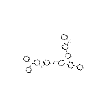 CCC1(CC)c2cc(/C=C/c3ccc(-c4ccc(-c5ccccc5)cc4-c4ccc(-c5ccc6c(c5)C(C)(C)c5ccccc5-6)cc4)cc3)ccc2-c2ccc(N(c3ccccc3)c3ccccc3)cc21